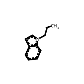 C[CH]Cn1ccc2ccccc21